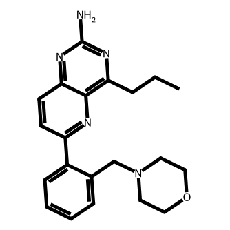 CCCc1nc(N)nc2ccc(-c3ccccc3CN3CCOCC3)nc12